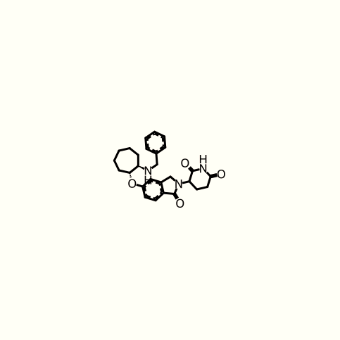 O=C1CCC(N2Cc3cc(O[C@@H]4CCCCC[C@H]4NCc4ccccc4)ccc3C2=O)C(=O)N1